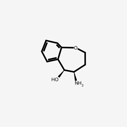 N[C@@H]1CCOc2ccccc2[C@@H]1O